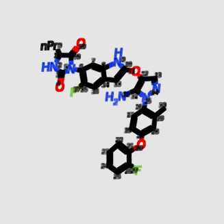 CCCC1NC(=O)N(c2cc3[nH]c(Oc4cnn(-c5ccc(Oc6ccccc6F)cc5C)c4N)cc3cc2F)C1=O